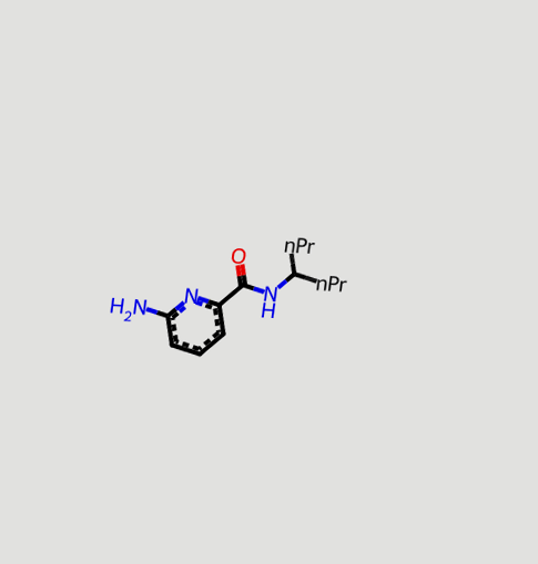 CCCC(CCC)NC(=O)c1cccc(N)n1